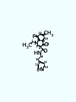 CCn1cc(C(=O)NCCc2ccncc2)c(=O)c2cc(C)cc(F)c21